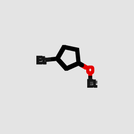 CCOC1CCC(CC)C1